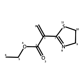 C=C(C(=O)OCC)C1=NCCS1